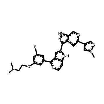 CN(C)CCOc1cc(F)cc(-c2nccc3[nH]c(-c4n[nH]c5cnc(-c6cnn(C)c6)cc45)cc23)c1